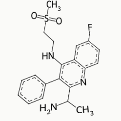 CC(N)c1nc2ccc(F)cc2c(NCCS(C)(=O)=O)c1-c1ccccc1